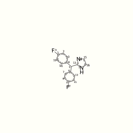 Fc1ccc(C(c2ccc(F)cc2)c2ncc[nH]2)cc1